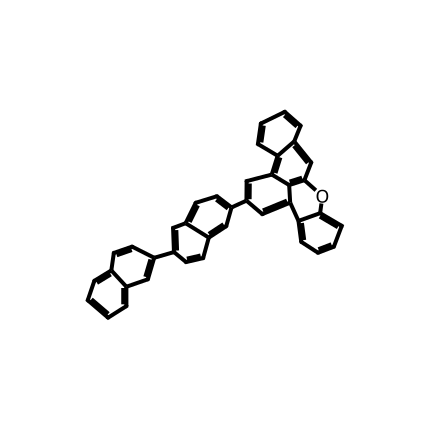 c1ccc2c(c1)Oc1cc3ccccc3c3cc(-c4ccc5cc(-c6ccc7ccccc7c6)ccc5c4)cc-2c13